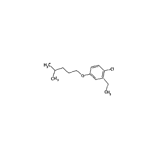 CCc1cc(OCCCC(C)C)ccc1Cl